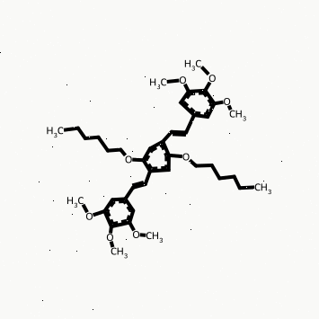 CCCCCCOc1cc(C=Cc2cc(OC)c(OC)c(OC)c2)c(OCCCCCC)cc1C=Cc1cc(OC)c(OC)c(OC)c1